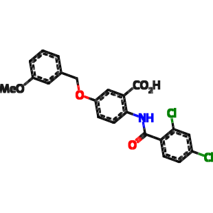 COc1cccc(COc2ccc(NC(=O)c3ccc(Cl)cc3Cl)c(C(=O)O)c2)c1